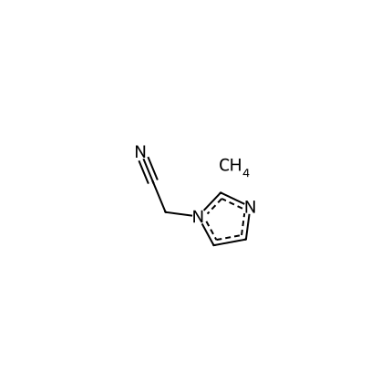 C.N#CCn1ccnc1